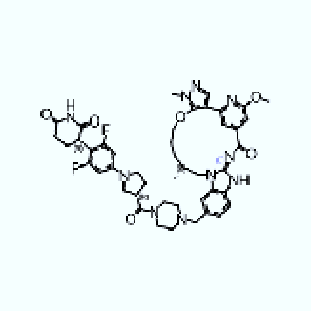 COc1cc2cc(n1)-c1cnn(C)c1OCCC[C@@H](C)CN1/C(=N/C2=O)Nc2ccc(CN3CCN(C(=O)[C@@H]4CCN(c5cc(F)c([C@H]6CCC(=O)NC6=O)c(F)c5)C4)CC3)cc21